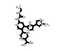 CCNC(=O)NC1CC(C2NC(C3CNN(C)C3)CS2)C(C2CNC(C(O)O)CN2)C=N1